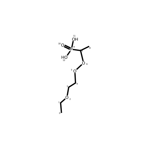 CCOCCOO[C](C)P(=O)(O)O